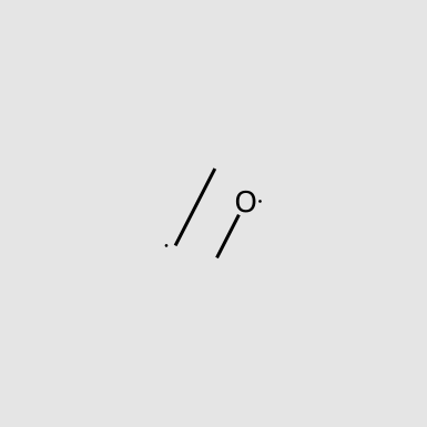 C[O].[CH2]C